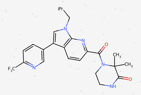 CC(C)Cn1cc(-c2ccc(C(F)(F)F)nc2)c2ccc(C(=O)N3CCNC(=O)C3(C)C)nc21